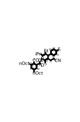 CCCCCCCCc1cc(CCCCCCCC)c(C(=O)OCC)c(C(=O)ON2C(C)=C(CCC#N)C(c3ccc(F)cc3)C(CC)=C2C(C)C)c1